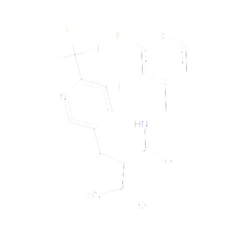 O=C(NCc1cccc(F)c1F)C1C(=O)NCC1c1ccc(C(F)(F)F)nc1